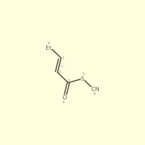 CC/C=C/C(=O)SC#N